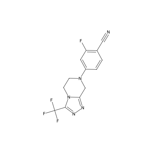 N#Cc1ccc(N2CCn3c(nnc3C(F)(F)F)C2)cc1F